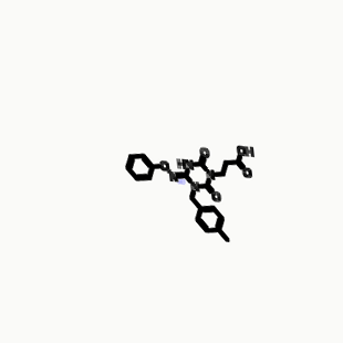 Cc1ccc(Cn2c(=O)n(CCC(=O)O)c(=O)[nH]/c2=N\Oc2ccccc2)cc1